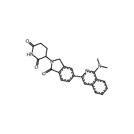 CN(C)c1nc(-c2ccc3c(c2)CN(C2CCC(=O)NC2=O)C3=O)cc2ccccc12